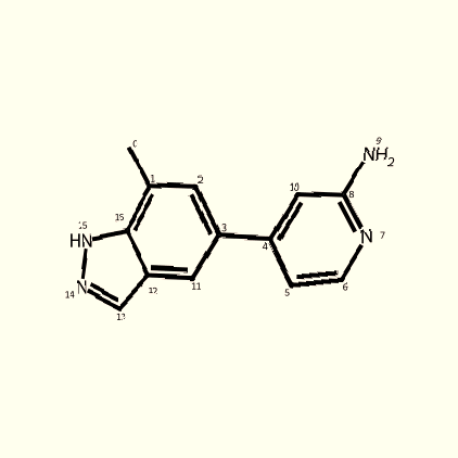 Cc1cc(-c2ccnc(N)c2)cc2cn[nH]c12